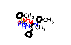 Cc1cccc(N(C)C(=O)[C@H](Cc2ccccc2)NC(=O)NS(=O)(=O)c2ccccc2C)c1